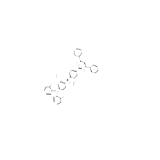 Cc1cccc2c3cccc(C)c3n(-c3ccc(C(c4ccc(-c5nc(-c6ccccc6)cc(-c6ccccc6)n5)cc4)(C(F)(F)F)C(F)(F)F)cc3)c12